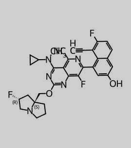 C#Cc1c(F)ccc2cc(O)cc(-c3nc(C#N)c4c(N(C)C5CC5)nc(OC[C@@]56CCCN5C[C@H](F)C6)nc4c3F)c12